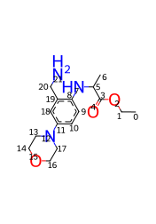 CCOC(=O)C(C)Nc1ccc(N2CCOCC2)cc1CN